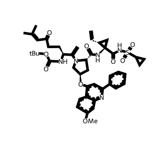 C=C[C@@H]1C[C@]1(NC(=O)[C@@H]1C[C@@H](Oc2cc(-c3ccccc3)nc3cc(OC)ccc23)CN1C(=C)[C@H](CCC(=O)C=C(C)C)NC(=O)OC(C)(C)C)C(=O)NS(=O)(=O)C1CC1